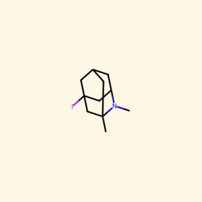 CN1C2CC3CC(I)(C2)CC1(C)C3